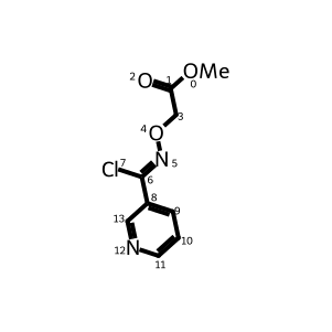 COC(=O)CON=C(Cl)c1cccnc1